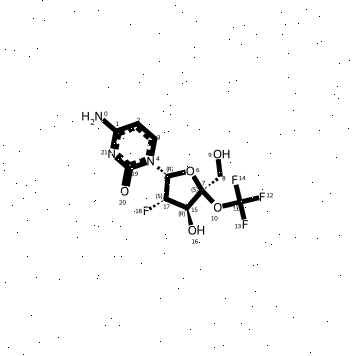 Nc1ccn([C@@H]2O[C@@](CO)(OC(F)(F)F)[C@@H](O)[C@@H]2F)c(=O)n1